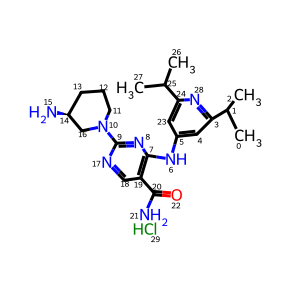 CC(C)c1cc(Nc2nc(N3CCC[C@H](N)C3)ncc2C(N)=O)cc(C(C)C)n1.Cl